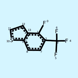 Fc1c(C(F)(F)F)ccc2s[c]cc12